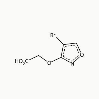 O=C(O)COc1nocc1Br